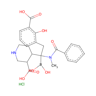 CN(C(=O)c1ccccc1)C(Cc1cccc(C(=O)O)c1O)(B(O)O)C1CCNCC1C(=O)O.Cl